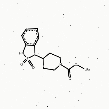 CC(C)(C)OC(=O)N1CCC(N2c3ccccc3NS2(=O)=O)CC1